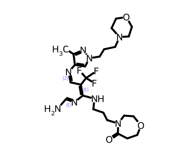 Cc1nn(CCCN2CCOCC2)cc1\N=C/C(=C(\N=C\N)NCCCN1CCOCCC1=O)C(F)(F)F